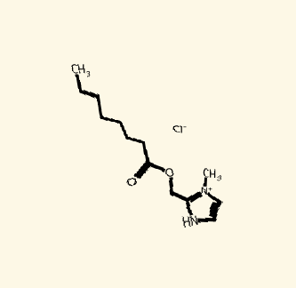 CCCCCCCC(=O)OCc1[nH]cc[n+]1C.[Cl-]